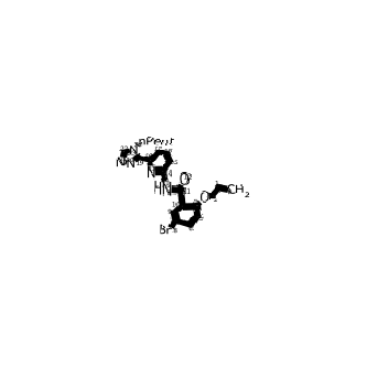 C=CCOc1ccc(Br)cc1C(=O)Nc1cccc(-c2nncn2CCCCC)n1